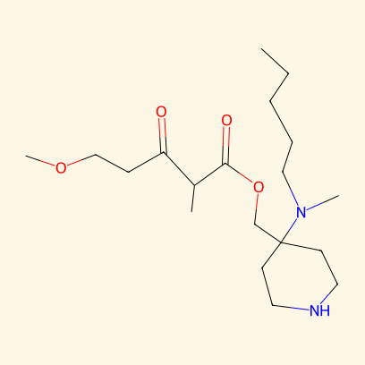 CCCCCN(C)C1(COC(=O)C(C)C(=O)CCOC)CCNCC1